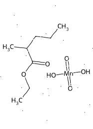 CCCC(C)C(=O)OCC.[O]=[Mn](=[O])([OH])[OH]